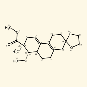 COC(=O)[C@@]1(C)CC=C2C3=C(CCC2[C@@H]1CO)CC1(CC3)OCCO1